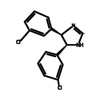 Clc1cccc([C@H]2N=[C]N[C@H]2c2cccc(Cl)c2)c1